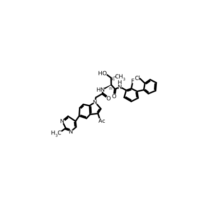 CC(=O)c1cn(CC(=O)N[C@H](C(=O)Nc2cccc(-c3ccccc3Cl)c2F)[C@@H](C)O)c2ccc(-c3cnc(C)nc3)cc12